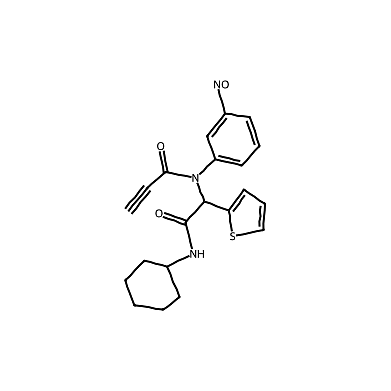 C#CC(=O)N(c1cccc(N=O)c1)C(C(=O)NC1CCCCC1)c1cccs1